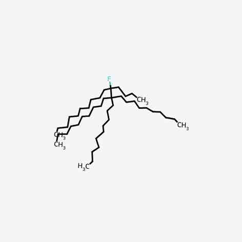 CCCCCCCCCCC(F)(CCCC)C(CCCCCCCCCC)(CCCCCCCCCC)CCCCCCCCCC